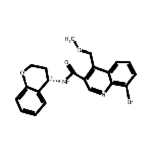 COCc1c(C(=O)N[C@H]2CCOc3ccccc32)cnc2c(Br)cccc12